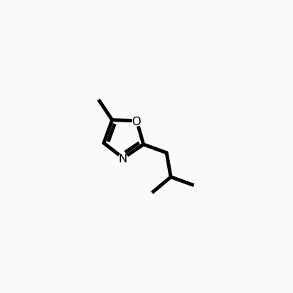 Cc1cnc(CC(C)C)o1